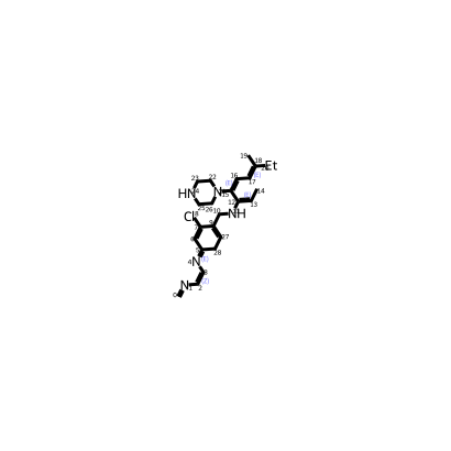 C=N/C=C\N=C1\C=C(Cl)C(CNC(=C/C)/C(=C\C=C(/C)CC)N2CCNCC2)=CC1